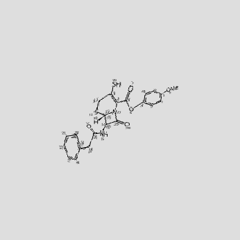 COc1ccc(OC(=O)C2=C(S)CS[C@H]3[C@H](NC(=O)Cc4ccccc4)C(=O)N23)cc1